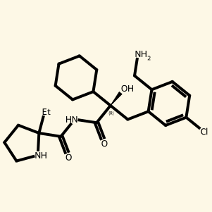 CCC1(C(=O)NC(=O)[C@@](O)(Cc2cc(Cl)ccc2CN)C2CCCCC2)CCCN1